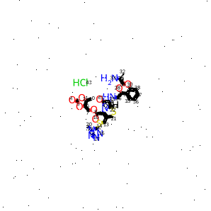 CC1OC(=O)OC1COC(=O)C1=C(CSc2nnnn2C)CS[C@H]2C(NCC(OC(=O)[C@H](C)N)c3ccccc3)C(=O)N12.Cl